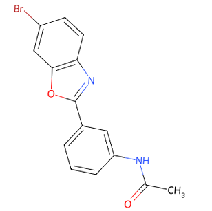 CC(=O)Nc1cccc(-c2nc3ccc(Br)cc3o2)c1